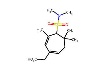 CC1=CC(CC(=O)O)=CCC(C)(C)C1S(=O)(=O)N(C)C